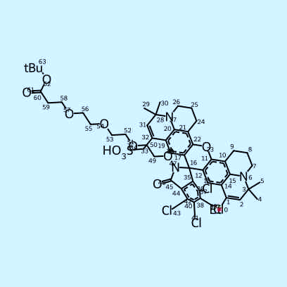 CCC1=CC(C)(C)N2CCCc3c4c(cc1c32)C1(c2cc3c5c(c2O4)CCCN5C(C)(C)C=C3CS(=O)(=O)O)c2c(Cl)c(Cl)c(Cl)c(Cl)c2C(=O)N1OCCOCCOCCOCCC(=O)OC(C)(C)C